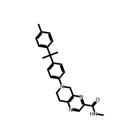 CNC(=O)c1cnc2c(n1)CN(c1ccc(C(C)(C)c3ccc(C)cc3)cc1)CC2